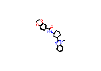 Cn1c(C2CCCC(NC(=O)c3ccc4c(c3)OCCO4)C2)nc2ccccc21